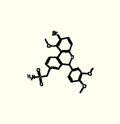 COc1ccc(C2Oc3ccc(Br)c(OC)c3-c3ccc(CS(N)(=O)=O)cc32)cc1OC